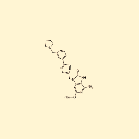 CCCCOc1cc2c([nH]c(=O)n2Cc2ccc(-c3cccc(CN4CCCC4)c3)nc2)c(N)n1